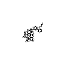 C=CCCc1ccccc1-c1cccc(-c2cc3nc(C)c([C@H](OC(C)(C)C)C(=O)OC)c(-c4cc5c(cc4C)OCCN5CC=C)n3n2)c1